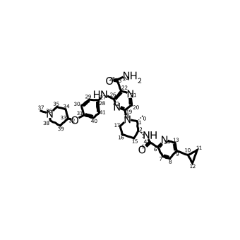 C[C@@H]1[C@H](NC(=O)c2ccc(C3CC3)cn2)CCCN1c1cnc(C(N)=O)c(Nc2ccc(OC3CCN(C)CC3)cc2)n1